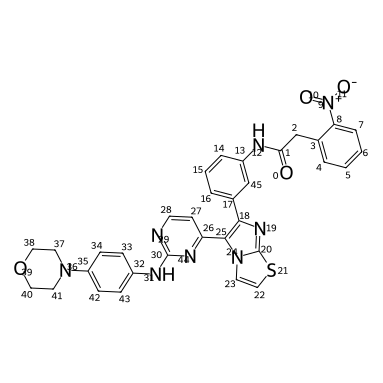 O=C(Cc1ccccc1[N+](=O)[O-])Nc1cccc(-c2nc3sccn3c2-c2ccnc(Nc3ccc(N4CCOCC4)cc3)n2)c1